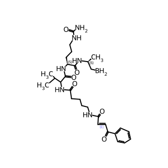 BC[C@H](C)NC(=O)[C@H](CCCNC(N)=O)NC(=O)C(NC(=O)CCCCNC(=O)/C=C/C(=O)c1ccccc1)C(C)C